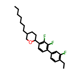 CCCCCCCC1CCC(c2ccc(-c3ccc(CC)c(F)c3)c(F)c2F)OC1